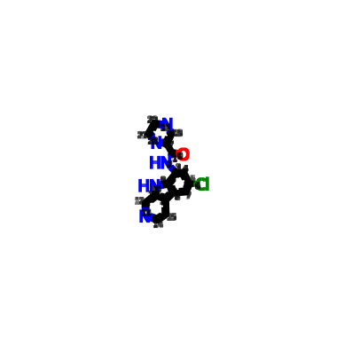 O=C(Nc1cc(Cl)cc2c1[nH]c1cnccc12)c1cnccn1